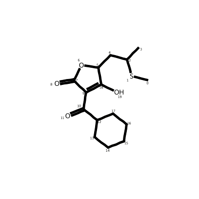 CSC(C)CC1OC(=O)C(C(=O)C2CCCCC2)=C1O